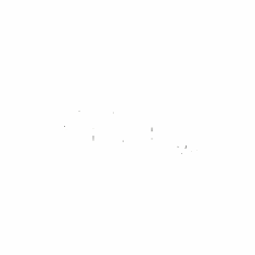 COc1ccc([C](C)c2ccccc2)cc1